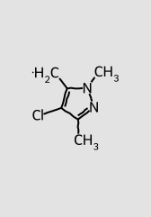 [CH2]c1c(Cl)c(C)nn1C